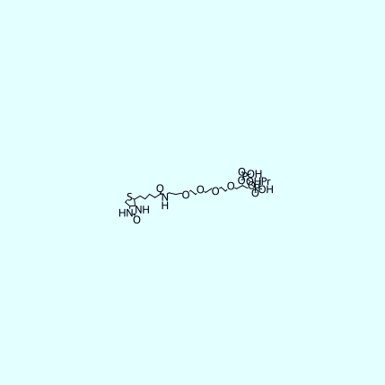 CC(C)P(=O)(O)OCC(COCCOCCOCCOCCCNC(=O)CCCCC1SCC2NC(=O)NC21)OP(=O)(O)O